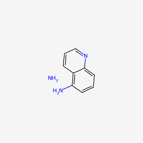 N.Nc1cccc2ncccc12